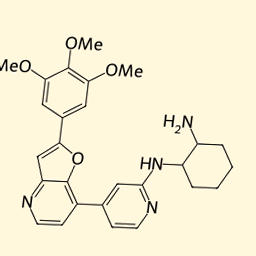 COc1cc(-c2cc3nccc(-c4ccnc(NC5CCCCC5N)c4)c3o2)cc(OC)c1OC